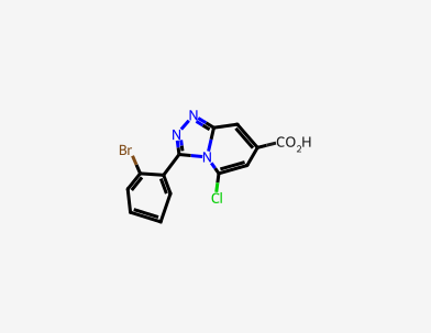 O=C(O)c1cc(Cl)n2c(-c3ccccc3Br)nnc2c1